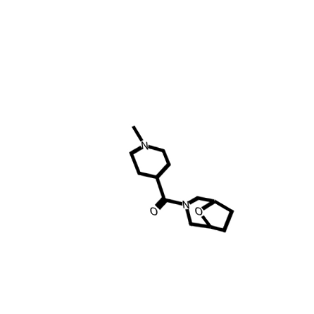 CN1CCC(C(=O)N2CC3CCC(C2)O3)CC1